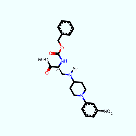 COC(=O)[C@H](CN(C(C)=O)C1CCN(c2cccc([N+](=O)[O-])c2)CC1)NC(=O)OCc1ccccc1